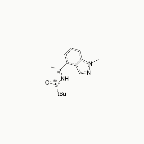 C[C@@H](N[S@@+]([O-])C(C)(C)C)c1cccc2c1cnn2C